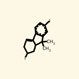 CC1(C)c2cc(I)ccc2C2=CCC(I)CC21